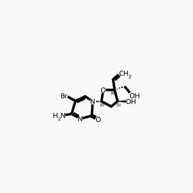 C=C[C@]1(CO)O[C@@H](n2cc(Br)c(N)nc2=O)C[C@@H]1O